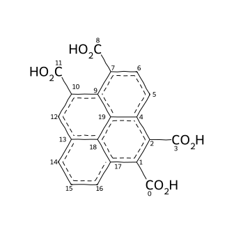 O=C(O)c1c(C(=O)O)c2ccc(C(=O)O)c3c(C(=O)O)cc4cccc1c4c23